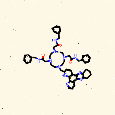 O=C(CN1CCN(CC(=O)NCc2ccccc2)CCN(CC2C=Cc3c(c4ncccc4c4nc5c(nc34)CCCC5)N2)CCN(CC(=O)NCc2ccccc2)CC1)NCc1ccccc1